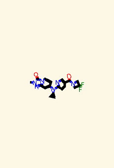 Cn1nc2cc(N(c3ccc(C(=O)N4CC(F)(F)C4)cn3)C3CC3)ccn2c1=O